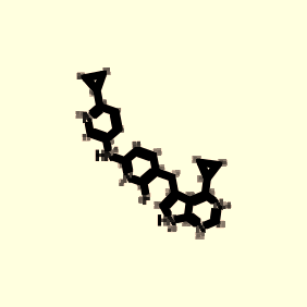 Fc1nc(Nc2ccc(C3CC3)nc2)ccc1Cc1c[nH]c2ncnc(C3CC3)c12